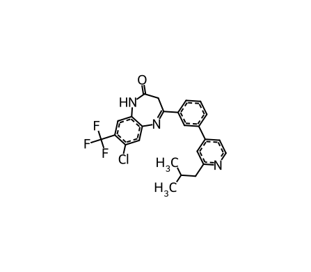 CC(C)Cc1cc(-c2cccc(C3=Nc4cc(Cl)c(C(F)(F)F)cc4NC(=O)C3)c2)ccn1